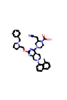 Cc1cccc2cccc(N3CCc4c(nc(OCC5CCCN5Cc5ccccc5)nc4N4CCN(C(=O)O)C(CC#N)C4)C3)c12